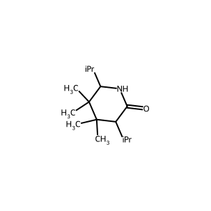 CC(C)C1NC(=O)C(C(C)C)C(C)(C)C1(C)C